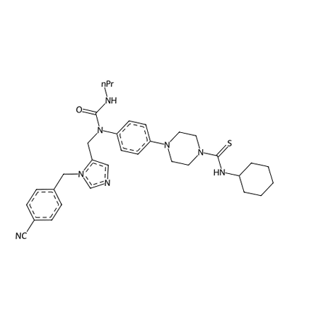 CCCNC(=O)N(Cc1cncn1Cc1ccc(C#N)cc1)c1ccc(N2CCN(C(=S)NC3CCCCC3)CC2)cc1